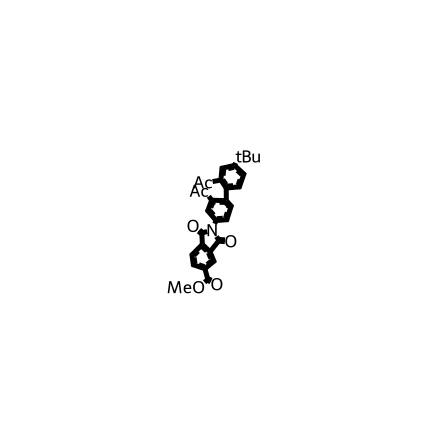 COC(=O)c1ccc2c(c1)C(=O)N(c1ccc(-c3ccc(C(C)(C)C)cc3C(C)=O)c(C(C)=O)c1)C2=O